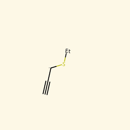 C#C[CH]SCC